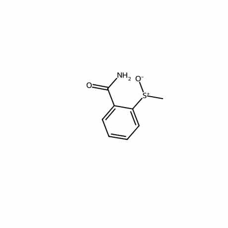 C[S+]([O-])c1ccccc1C(N)=O